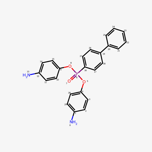 Nc1ccc(OP(=O)(Oc2ccc(N)cc2)c2ccc(-c3ccccc3)cc2)cc1